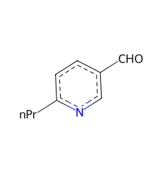 CCCc1ccc(C=O)cn1